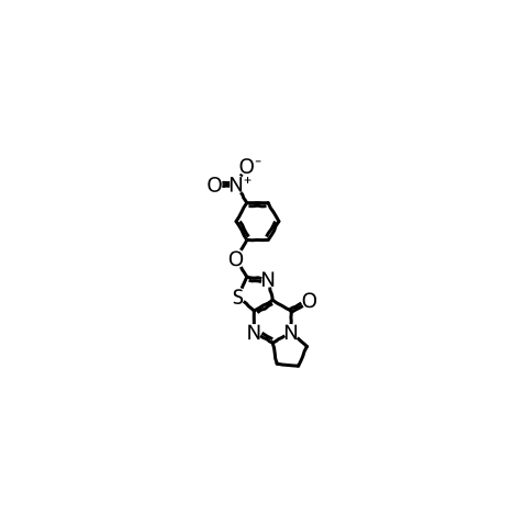 O=c1c2nc(Oc3cccc([N+](=O)[O-])c3)sc2nc2n1CCC2